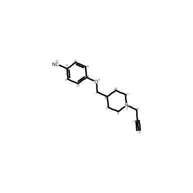 C#CCN1CCC(COc2ccc(C#N)cc2)CC1